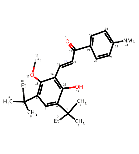 CCC(C)(C)c1cc(C(C)(C)CC)c(OC(C)C)c(/C=C/C(=O)c2ccc(NC)cc2)c1O